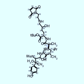 CNC(C(O)N[C@H](C(=O)N(C)[C@H](/C=C(\C)C(=O)N[C@H](CCC(O)CNCCN1C(=O)C=CC1=O)C(=O)OC(C)(C)C)C(C)C)C(C)(C)C)C(C)(C)c1ccc(O)cc1